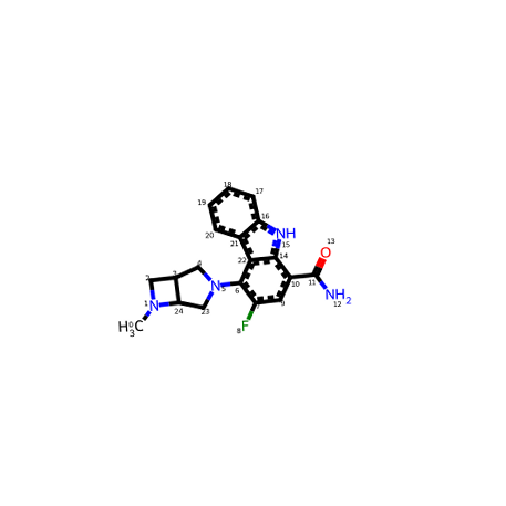 CN1CC2CN(c3c(F)cc(C(N)=O)c4[nH]c5ccccc5c34)CC21